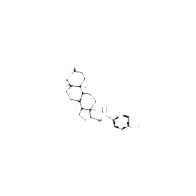 CCC[C@@]1(O)CC[C@H]2[C@H](CC[C@@H]3[C@@H]2CC[C@]2(C)[C@@H]([C@@H](C)Nc4ccc(C#N)cn4)CC[C@@H]32)C1